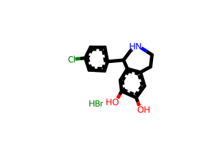 Br.Oc1cc2c(cc1O)C(c1ccc(Cl)cc1)CNCC2